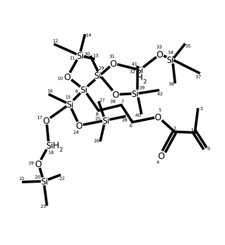 C=C(C)C(=O)OCCC[Si](O[Si](C)(C)C)([Si](C)(O[SiH2]O[Si](C)(C)C)O[Si](C)(C)C)[Si](C)(O[SiH2]O[Si](C)(C)C)O[Si](C)(C)C